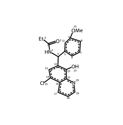 CCC(=O)NC(c1cccc(OC)c1)c1cc(Cl)c2cccnc2c1O